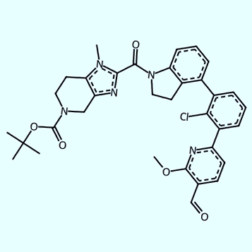 COc1nc(-c2cccc(-c3cccc4c3CCN4C(=O)c3nc4c(n3C)CCN(C(=O)OC(C)(C)C)C4)c2Cl)ccc1C=O